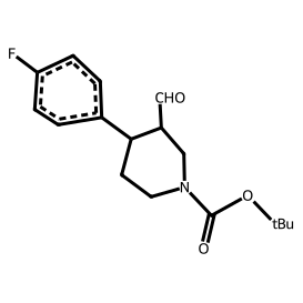 CC(C)(C)OC(=O)N1CCC(c2ccc(F)cc2)C(C=O)C1